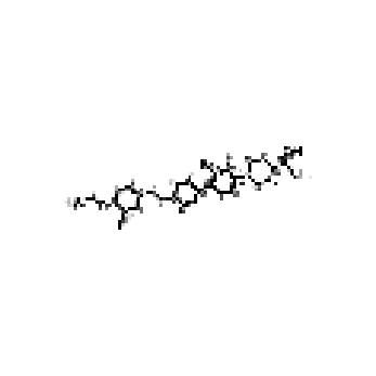 CCOc1ccc(CCc2ccc(-c3ccc(C4CCC(C(C)O)CC4)c(F)c3F)cc2)cc1F